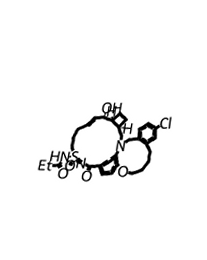 CCC(=O)N[S@@]1(=O)=NC(=O)c2ccc3c(c2)N(Cc2ccc(Cl)cc2CCCCO3)C[C@@H]2CC[C@H]2[C@@H](O)/C=C/CCC1